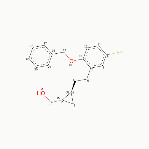 OC[C@H]1C[C@@H]1CCc1cc(F)ccc1OCc1ccccc1